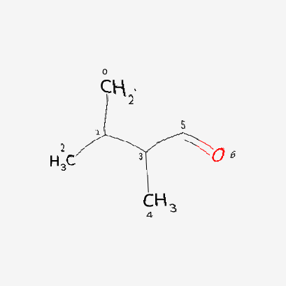 [CH2]C(C)C(C)C=O